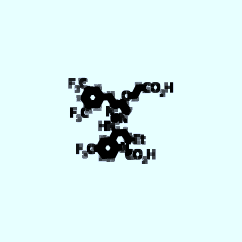 CC[C@@H]1C[C@H](Nc2ncc(OCCC(=O)O)c(Cc3cc(C(F)(F)F)cc(C(F)(F)F)c3)n2)c2cc(C(F)(F)F)ccc2N1C(=O)O